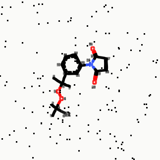 CCC(C)(C)OOC(C)(C)c1cccc(N2C(=O)C=CC2=O)c1